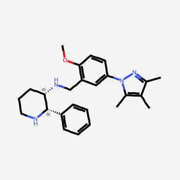 COc1ccc(-n2nc(C)c(C)c2C)cc1CN[C@H]1CCCN[C@H]1c1ccccc1